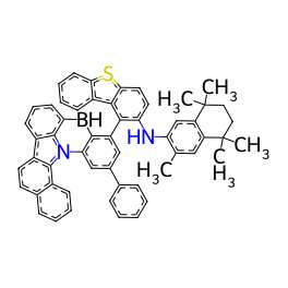 Cc1cc2c(cc1Nc1ccc3sc4ccccc4c3c1-c1cc(-c3ccccc3)cc3c1Bc1cccc4c5ccc6ccccc6c5n-3c14)C(C)(C)CCC2(C)C